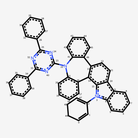 C1=CC(n2c3ccccc3c3ccc4c(c32)-c2ccccc2N(c2nc(-c3ccccc3)nc(-c3ccccc3)n2)c2ccccc2-4)=CCC1